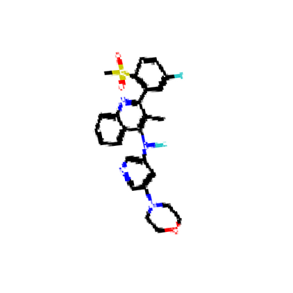 Cc1c(-c2cc(F)ccc2S(C)(=O)=O)nc2ccccc2c1N(F)c1cncc(N2CCOCC2)c1